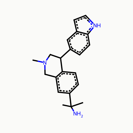 CN1Cc2cc(C(C)(C)N)ccc2C(c2ccc3[nH]ccc3c2)C1